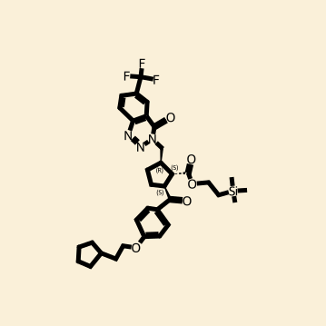 C[Si](C)(C)CCOC(=O)[C@H]1[C@H](Cn2nnc3ccc(C(F)(F)F)cc3c2=O)CC[C@@H]1C(=O)c1ccc(OCCC2CCCC2)cc1